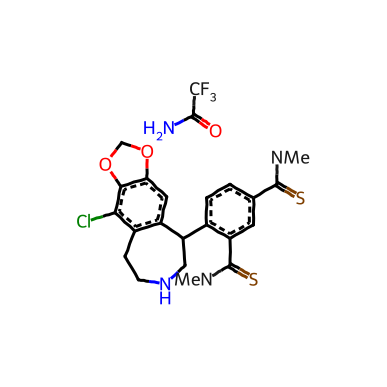 CNC(=S)c1ccc(C2CNCCc3c2cc2c(c3Cl)OCO2)c(C(=S)NC)c1.NC(=O)C(F)(F)F